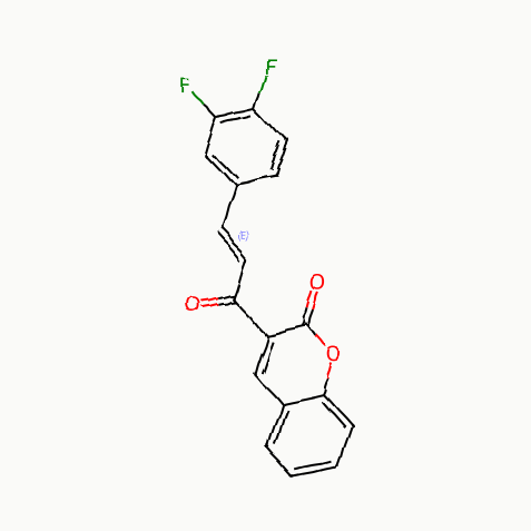 O=C(/C=C/c1ccc(F)c(F)c1)c1cc2ccccc2oc1=O